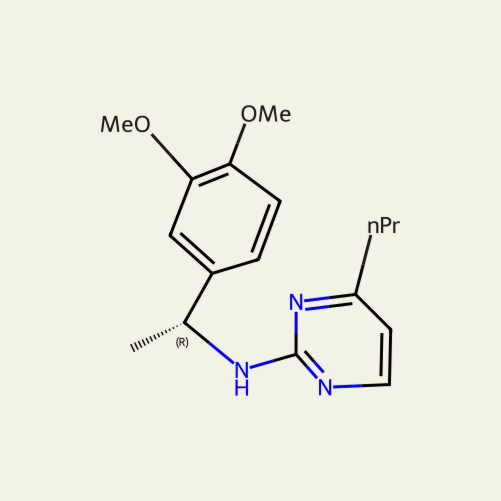 C[CH]Cc1ccnc(N[C@H](C)c2ccc(OC)c(OC)c2)n1